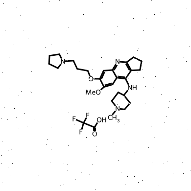 COc1cc2c(NC3CCN(C)CC3)c3c(nc2cc1OCCCN1CCCC1)CCC3.O=C(O)C(F)(F)F